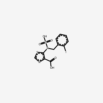 O=C(O)c1ncsc1N(Cc1ccccc1I)S(=O)(=O)O